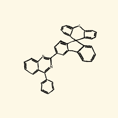 c1ccc(-c2nc(-c3ccc4c(c3)-c3ccccc3C43c4ccccc4Sc4ccccc43)nc3ccccc23)cc1